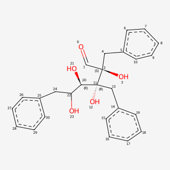 O=C[C@](O)(Cc1ccccc1)[C@@](O)(Cc1ccccc1)[C@H](O)C(O)Cc1ccccc1